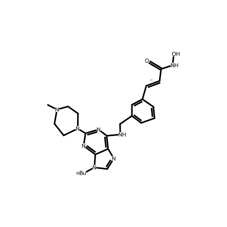 CCCCn1cnc2c(NCc3cccc(/C=C/C(=O)NO)c3)nc(N3CCN(C)CC3)nc21